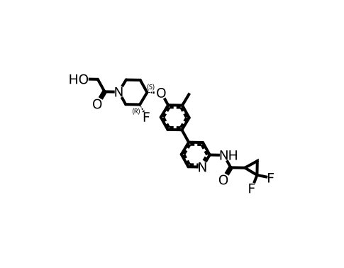 Cc1cc(-c2ccnc(NC(=O)C3CC3(F)F)c2)ccc1O[C@H]1CCN(C(=O)CO)C[C@H]1F